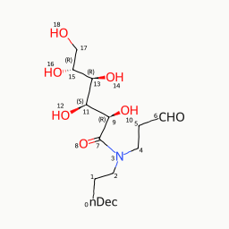 CCCCCCCCCCCCN(CCC=O)C(=O)[C@H](O)[C@@H](O)[C@H](O)[C@H](O)CO